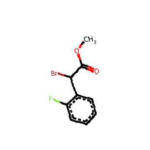 COC(=O)C(Br)c1ccccc1F